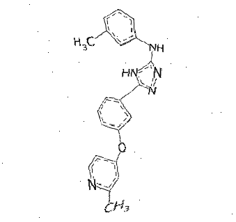 Cc1cccc(Nc2nnc(-c3cccc(Oc4ccnc(C)c4)c3)[nH]2)c1